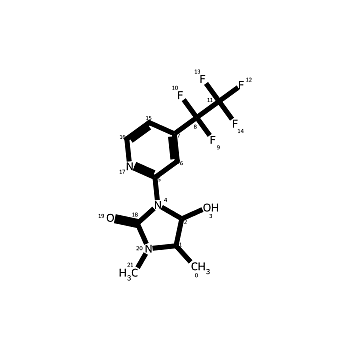 CC1C(O)N(c2cc(C(F)(F)C(F)(F)F)ccn2)C(=O)N1C